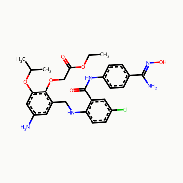 CCOC(=O)COc1c(CNc2ccc(Cl)cc2C(=O)Nc2ccc(/C(N)=N/O)cc2)cc(N)cc1OC(C)C